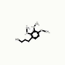 COc1c[c]c(CCCO)c(OC)c1OC